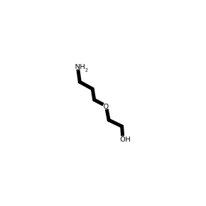 NCCCOCCO